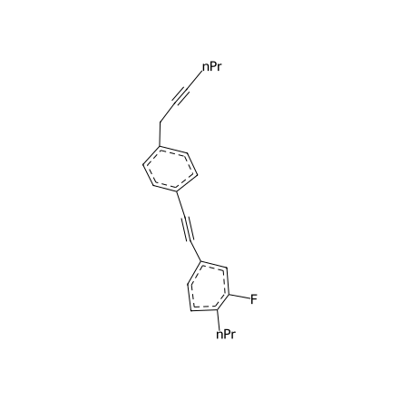 CCCC#CCc1ccc(C#Cc2ccc(CCC)c(F)c2)cc1